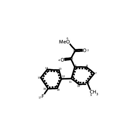 COC(=O)C(=O)c1ccc(C)cc1-c1cccc(F)c1